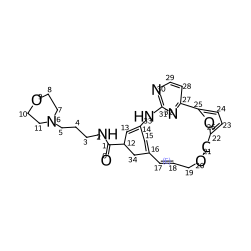 O=C(NCCCN1CCOCC1)C1C=C2C=C(/C=C/COCc3ccc(o3)-c3ccnc(n3)N2)C1